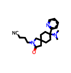 CN(C)C1(c2ccccn2)CCC2(CC1)CC(=O)N(CCCC#N)C2